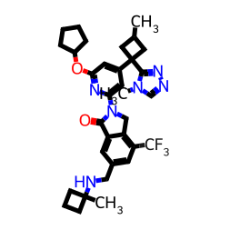 CC1CC(c2cc(OC3CCCC3)nc(N3Cc4c(cc(CNC5(C)CCC5)cc4C(F)(F)F)C3=O)c2)(c2nncn2C)C1